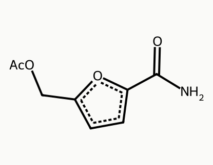 CC(=O)OCc1ccc(C(N)=O)o1